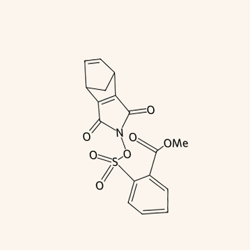 COC(=O)c1ccccc1S(=O)(=O)ON1C(=O)C2=C(C1=O)C1C=CC2C1